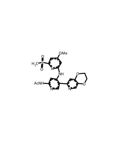 COc1cc(Nc2cc(NC(C)=O)ncc2-c2cc3c(cn2)OCCO3)nc(S(C)(=O)=O)c1